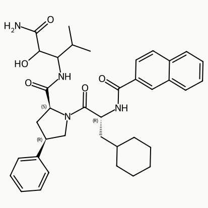 CC(C)C(NC(=O)[C@@H]1C[C@H](c2ccccc2)CN1C(=O)[C@@H](CC1CCCCC1)NC(=O)c1ccc2ccccc2c1)C(O)C(N)=O